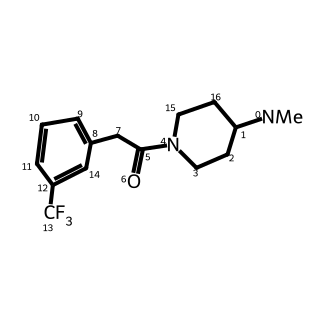 CNC1CCN(C(=O)Cc2cccc(C(F)(F)F)c2)CC1